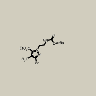 CCOC(=O)c1c(C)c(Br)nn1CCNC(=O)OC(C)(C)C